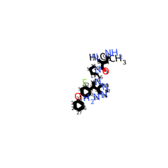 CC(C)(N)C=C(C#N)C(=O)N1CCC[C@@H]1Cn1cc(-c2ccc(Oc3ccccc3)cc2F)c2c(N)ncnc21